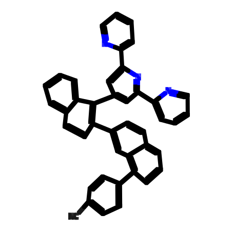 N#Cc1ccc(-c2cccc3ccc(-c4ccc5ccccc5c4-c4cc(-c5ccccn5)nc(-c5ccccn5)c4)cc23)cc1